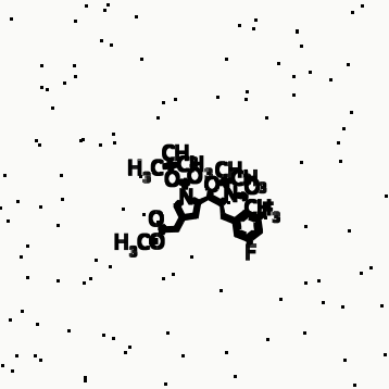 COC(=O)CC1CC([C@H]2OC(C)(C)N(C(C)=O)[C@H]2Cc2cc(F)cc(F)c2)N(C(=O)OC(C)(C)C)C1